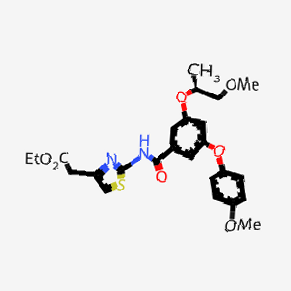 CCOC(=O)Cc1csc(NC(=O)c2cc(Oc3ccc(OC)cc3)cc(O[C@@H](C)COC)c2)n1